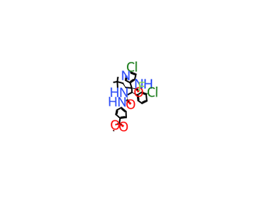 COC(=O)c1ccc(NC(=O)[C@@H]2N[C@@H](CC(C)(C)C)[C@@]3(C(=O)Nc4cc(Cl)ncc43)[C@H]2c2cccc(Cl)c2F)cc1